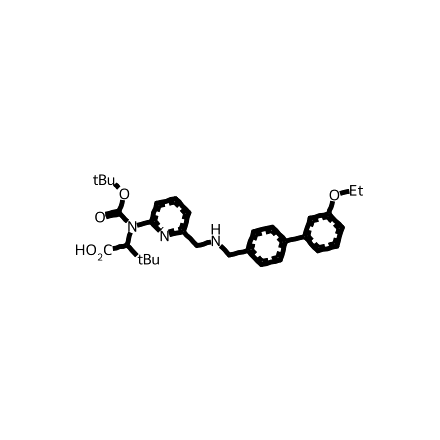 CCOc1cccc(-c2ccc(CNCc3cccc(N(C(=O)OC(C)(C)C)C(C(=O)O)C(C)(C)C)n3)cc2)c1